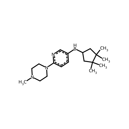 CN1CCN(c2ccc(BC3CC(C)(C)C(C)(C)C3)cn2)CC1